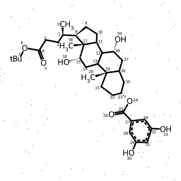 C[C@H](CCC(=O)OC(C)(C)C)[C@H]1CCC2C3C(C[C@H](O)[C@@]21C)[C@@]1(C)CC[C@@H](OC(=O)c2cc(O)cc(O)c2)CC1C[C@H]3O